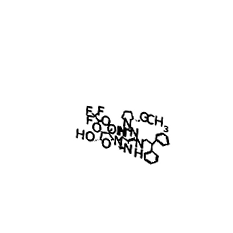 COC[C@H]1CCCN1c1nc(NCC(c2ccccc2)c2ccccc2)c2ncn([C@@H]3O[C@H](CO)[C@@H](OC(=O)C(F)(F)F)[C@H]3O)c2n1